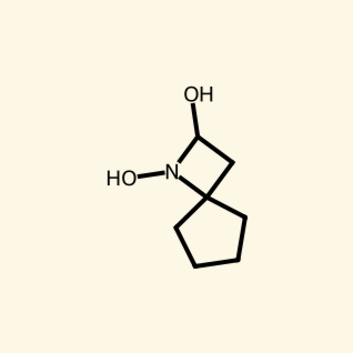 OC1CC2(CCCC2)N1O